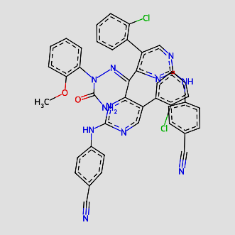 COc1ccccc1N(N=C(c1nc(Nc2ccc(C#N)cc2)ncc1-c1ccccc1Cl)c1nc(Nc2ccc(C#N)cc2)ncc1-c1ccccc1Cl)C(N)=O